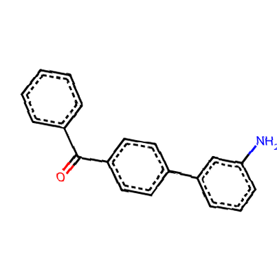 Nc1cccc(-c2ccc(C(=O)c3ccccc3)cc2)c1